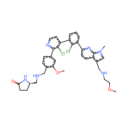 COCCNCc1cn(C)c2nc(-c3cccc(-c4ccnc(-c5ccc(CNC[C@H]6CCC(=O)N6)c(OC)c5)c4Cl)c3Cl)ccc12